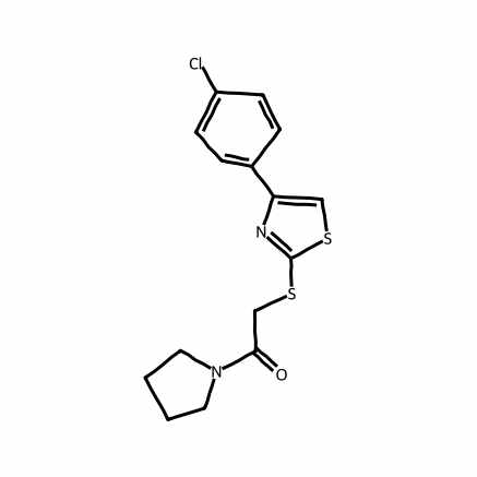 O=C(CSc1nc(-c2ccc(Cl)cc2)cs1)N1CCCC1